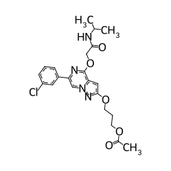 CC(=O)OCCCOc1cc2c(OCC(=O)NC(C)C)nc(-c3cccc(Cl)c3)cn2n1